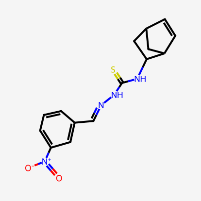 O=[N+]([O-])c1cccc(C=NNC(=S)NC2CC3C=CC2C3)c1